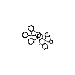 c1ccc(C2(c3ccccc3-c3cccc4c3Oc3ccccc3C43c4ccccc4-c4ccccc43)c3ccccc3-c3ccccc32)cc1